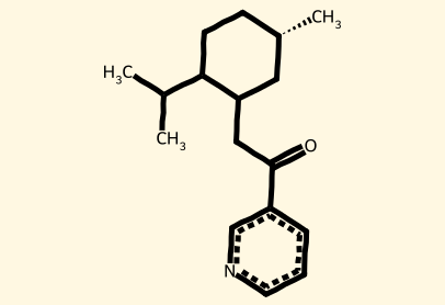 CC(C)C1CC[C@H](C)CC1CC(=O)c1cccnc1